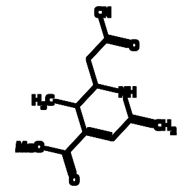 C=C1C=C(C(=O)OC)C(C)C(CC(=O)C#N)N1